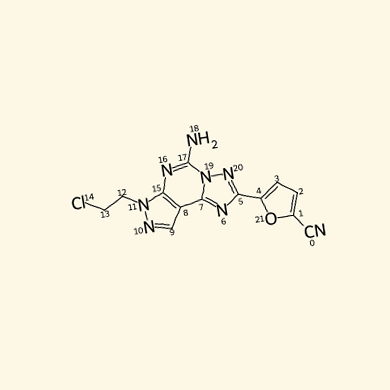 N#Cc1ccc(-c2nc3c4cnn(CCCl)c4nc(N)n3n2)o1